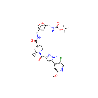 COc1cc(-c2cc(C(=O)N3CC[C@H](C(=O)NCC45COC(CNC(=O)OC(C)(C)C)(C4)C5)CC34CC4)n[nH]2)c(F)cn1